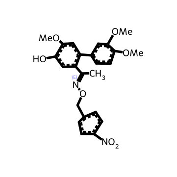 COc1cc(-c2ccc(OC)c(OC)c2)c(/C(C)=N/OCc2ccc([N+](=O)[O-])cc2)cc1O